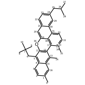 Cc1ccc2c(CC(C)(C)C)c3c(c(C)c2c1)-c1c2c(cc4ccc(CC(C)C)cc4c2cc[n+]1C)O3